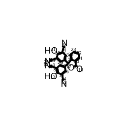 N#Cc1cc(C2(c3cc(C#N)c(O)c(C#N)c3)OC(=O)c3ccccc32)cc(C#N)c1O